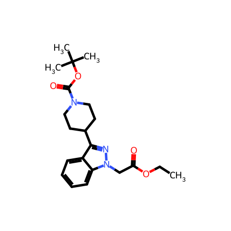 CCOC(=O)Cn1nc(C2CCN(C(=O)OC(C)(C)C)CC2)c2ccccc21